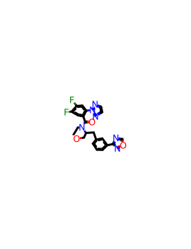 O=C(c1cc(F)c(F)cc1-n1nccn1)N1CCOCC1Cc1cccc(-c2ncon2)c1